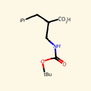 CC(C)CC(CNC(=O)OC(C)(C)C)C(=O)O